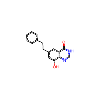 O=c1[nH]cnc2c(O)cc(CCc3ccccc3)cc12